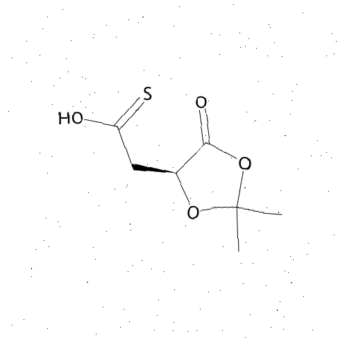 CC1(C)OC(=O)[C@H](CC(O)=S)O1